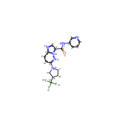 O=C(Nc1cccnc1)c1cnc2ccc(N3CCC(C(F)(F)F)C3)nn12